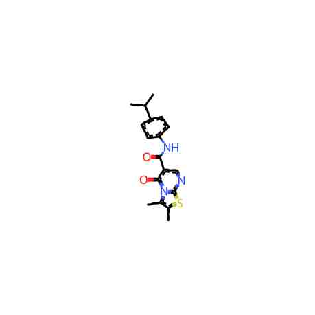 Cc1sc2ncc(C(=O)Nc3ccc(C(C)C)cc3)c(=O)n2c1C